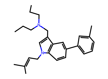 CCCN(CCC)Cc1cn(CC=C(C)C)c2ccc(-c3cccc(C)c3)cc12